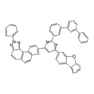 c1ccc(-c2cccc(-c3cccc(-c4nc(-c5ccc6c(ccc7ccc8nn(-c9ccccc9)nc8c76)c5)cc(-c5ccc6c(c5)oc5ccccc56)n4)c3)c2)cc1